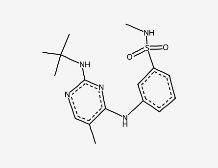 CNS(=O)(=O)c1cccc(Nc2nc(NC(C)(C)C)ncc2C)c1